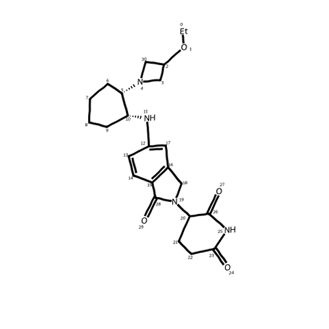 CCOC1CN([C@H]2CCCC[C@H]2Nc2ccc3c(c2)CN(C2CCC(=O)NC2=O)C3=O)C1